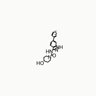 O=C(Nc1n[nH]c2cc(-c3ccsc3)ccc12)N1CCC(O)CC1